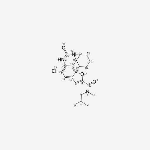 CC(C)CN(C)C(=O)c1cc2cc(Cl)c3c(c2o1)C1(CCCCC1)NC(=O)N3